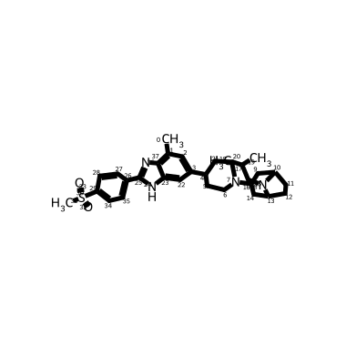 Cc1cc(C2CCN(C3CC4CCC(C3)N4CC(C)C)CC2)cc2[nH]c(-c3ccc(S(C)(=O)=O)cc3)nc12